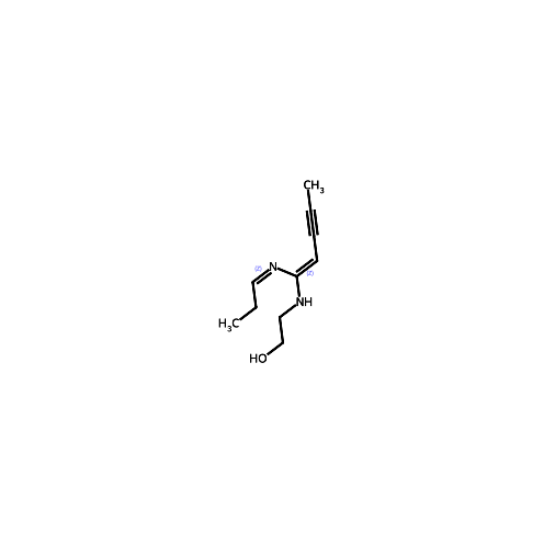 CC#C/C=C(\N=C/CC)NCCO